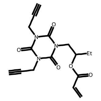 C#CCn1c(=O)n(CC#C)c(=O)n(CC(CC)OC(=O)C=C)c1=O